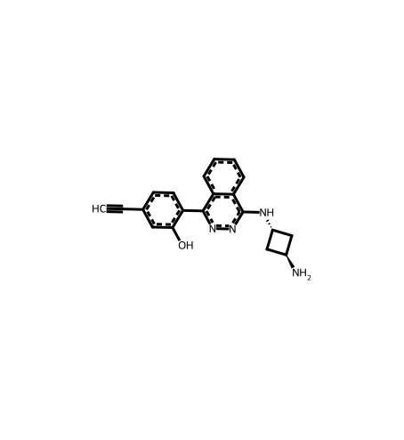 C#Cc1ccc(-c2nnc(N[C@H]3C[C@H](N)C3)c3ccccc23)c(O)c1